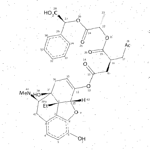 CC[C@]12c3c4ccc(O)c3O[C@H]1C(OC(=O)C[C@H](CC(C)=O)C(=O)O[C@@H](C)C(=O)O[C@H](C(=O)O)c1ccccc1)=CC[C@@]2(O)[C@H](NC)C4